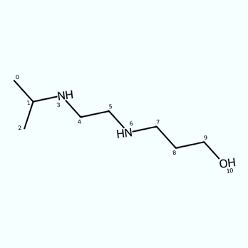 CC(C)NCCNCCCO